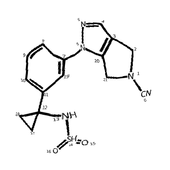 N#CN1Cc2cnn(-c3cccc(C4(N[SH](=O)=O)CC4)c3)c2C1